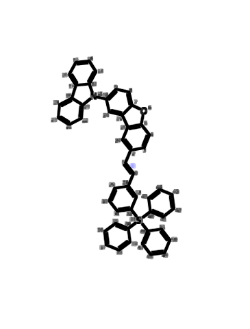 C(=C\c1ccc2oc3ccc(-n4c5ccccc5c5ccccc54)cc3c2c1)/c1cccc([Si](c2ccccc2)(c2ccccc2)c2ccccc2)c1